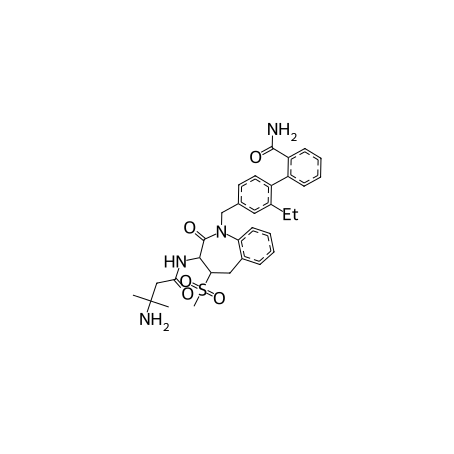 CCc1cc(CN2C(=O)C(NC(=O)CC(C)(C)N)C(S(C)(=O)=O)Cc3ccccc32)ccc1-c1ccccc1C(N)=O